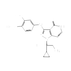 Cc1cc(Nc2nn([C@@](C)(CC#N)C3CC3)c3cc[nH]c(=O)c23)ccc1C(=O)O